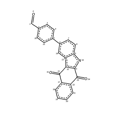 O=Cc1ccc(-c2ccc3nc4c(n3c2)C(=O)c2ccccc2C4=O)cc1